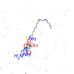 CCCCC/C=C\C/C=C\CCCCCCCCNC(=S)OC[C@H]1O[C@@H](N2C=CC(N)NC2=O)C(F)(F)[C@@H]1O